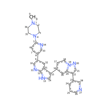 CN1CCN(c2ccc(-c3cnc4[nH]cc(-c5ccn6ncc(-c7cccnc7)c6c5)c4c3)cn2)CC1